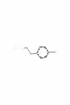 CC(=O)OCCc1ccc(I)cc1